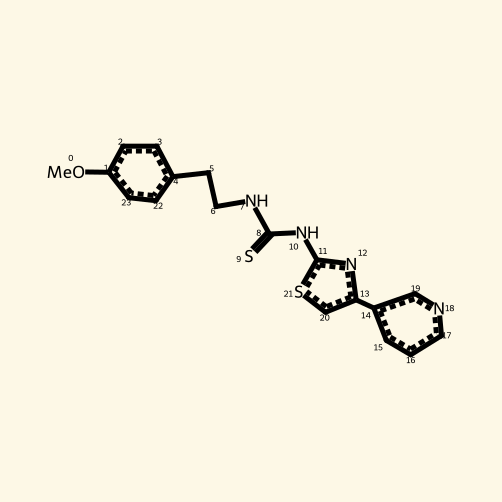 COc1ccc(CCNC(=S)Nc2nc(-c3cccnc3)cs2)cc1